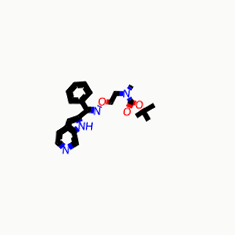 CN(CCO/N=C(\c1ccccc1)c1cc2ccncc2[nH]1)C(=O)OC(C)(C)C